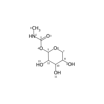 CNC(=O)OC1OCC(O)C(O)C1O